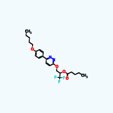 CCCCCOc1ccc(-c2ccc(OCC(OC(=O)CCCC)C(F)(F)F)nn2)cc1